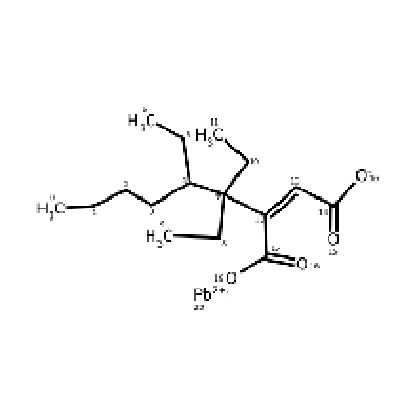 CCCCC(CC)C(CC)(CC)/C(=C/C(=O)[O-])C(=O)[O-].[Pb+2]